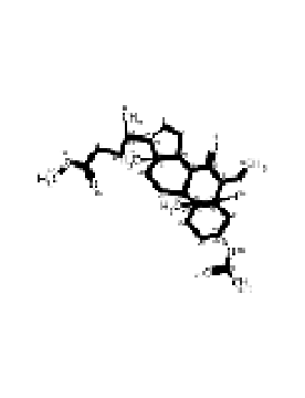 CCC1C(=O)C2C3CC[C@H]([C@H](C)CCC(=O)OC)[C@@]3(C)CCC2[C@@]2(C)CC[C@@H](OC(C)=O)C[C@@H]12